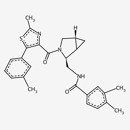 Cc1cccc(-c2sc(C)nc2C(=O)N2C[C@@H]3CC3[C@H]2CNC(=O)c2ccc(C)c(C)c2)c1